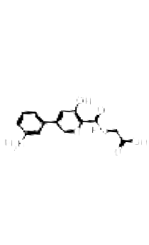 Nc1cccc(-c2cnc(C(=O)NCC(=O)O)c(O)c2)c1